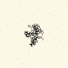 C=CC1C[C@]1(NC(=O)[C@@H]1C[C@@H](Oc2nccc3sccc23)CN1C(=O)[C@@H](NC(=O)OC(C)(C)C)C(C)(C)C)C(=O)NS(=O)(=O)C1CC1